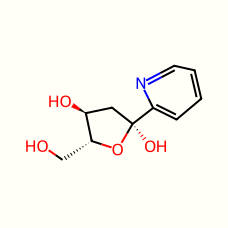 OC[C@H]1O[C@](O)(c2ccccn2)C[C@@H]1O